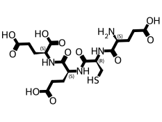 N[C@@H](CCC(=O)O)C(=O)N[C@@H](CS)C(=O)N[C@@H](CCC(=O)O)C(=O)N[C@@H](CCC(=O)O)C(=O)O